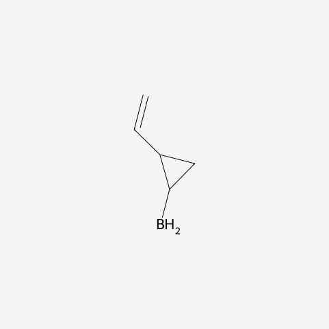 BC1CC1C=C